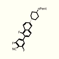 CCCCC[C@H]1CC[C@H](c2ccc3c(F)c(-c4cc(F)c(C#N)c(F)c4)ccc3c2)CC1